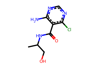 CC(CO)NC(=O)c1c(N)ncnc1Cl